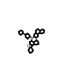 c1ccc(-c2ccc(N(c3ccc4c(ccc5ccccc54)c3)c3cc4oc5ccccc5c4c4ccccc34)cc2)cc1